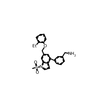 CCc1ccccc1OCc1cc(-c2cccc(CN)c2)c2ccn(S(C)(=O)=O)c2c1